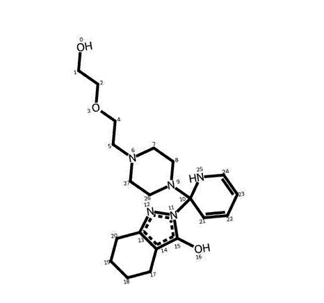 OCCOCCN1CCN(C2(n3nc4c(c3O)CCCC4)C=CC=CN2)CC1